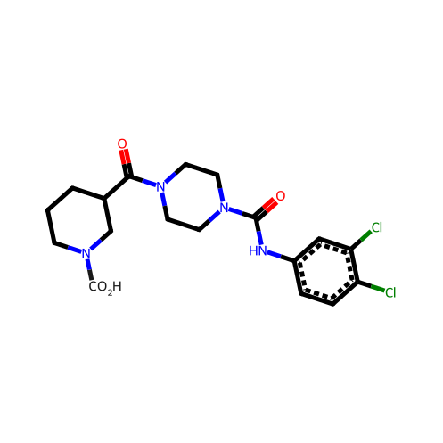 O=C(O)N1CCCC(C(=O)N2CCN(C(=O)Nc3ccc(Cl)c(Cl)c3)CC2)C1